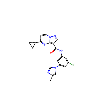 Cc1cn(-c2cc(Cl)cc(NC(=O)c3cnn4ccc(C5CC5)nc34)c2)cn1